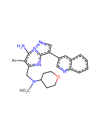 CC(=O)c1c(CN(C(=O)O)C2CCOCC2)nc2c(-c3cnc4ccccc4c3)cnn2c1N